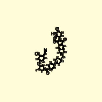 C[C@@H]1CN(C(=O)c2ccc(N3CCC(CN4Cc5cc6c(cc5C4)C(=O)N(C4CCC(=O)NC4=O)C6=O)CC3)cc2)C[C@H]1Oc1ccc(C#N)c(Cl)c1